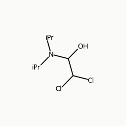 CC(C)N(C(C)C)C(O)C(Cl)Cl